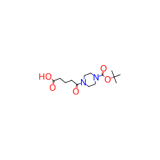 CC(C)(C)OC(=O)N1CCN(C(=O)CCCC(=O)O)CC1